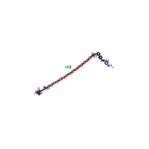 Cl.Cl.N[C@H]1CC[C@H](N[C@@H]2C[C@H]2c2ccc(-c3cccc(CCC(=O)NCCOCCOCCOCCOCCOCCOCCOCCOCCOCCOCCOCCOCCOCCOCCOCCNC(=O)CCCC[C@@H]4SC[C@@H]5NC(=O)N[C@@H]54)c3)cc2)CC1